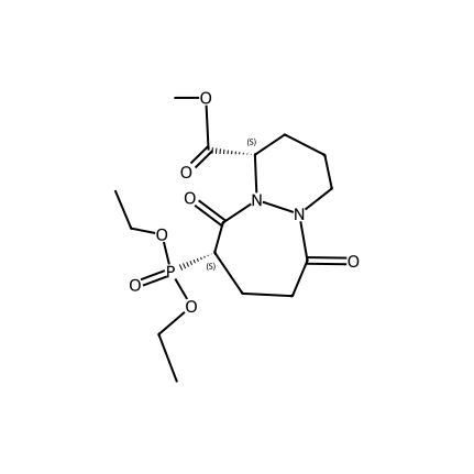 CCOP(=O)(OCC)[C@H]1CCC(=O)N2CCC[C@@H](C(=O)OC)N2C1=O